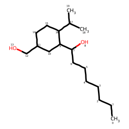 CCCCCCCC(O)C1CC(CO)CCC1C(C)C